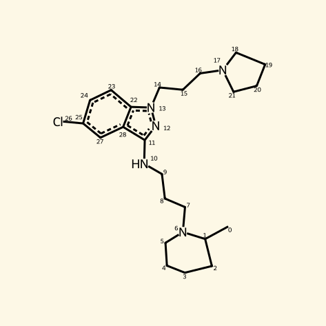 CC1CCCCN1CCCNc1nn(CCCN2CCCC2)c2ccc(Cl)cc12